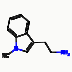 N#Cn1cc(CCN)c2ccccc21